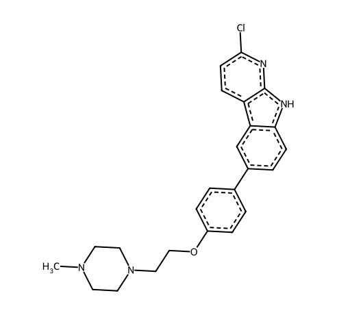 CN1CCN(CCOc2ccc(-c3ccc4[nH]c5nc(Cl)ccc5c4c3)cc2)CC1